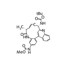 COC(=O)Nc1ccc2c(c1)NC(=O)[C@H](C)/C=C/C[C@H](NC(=O)OC(C)(C)C)c1cc-2c2ccccc2n1